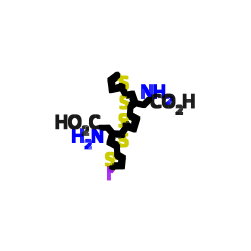 N[C@H](Cc1cc(-c2cccs2)sc1-c1ccc(-c2sc(-c3ccc(I)s3)cc2C[C@H](N)C(=O)O)s1)C(=O)O